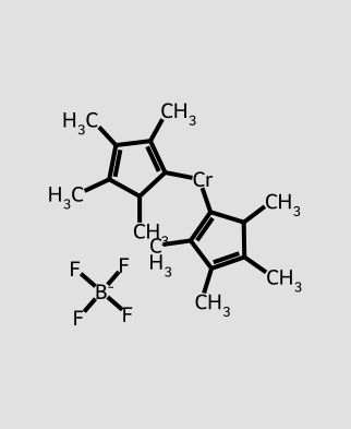 CC1=C(C)C(C)[C]([Cr][C]2=C(C)C(C)=C(C)C2C)=C1C.F[B-](F)(F)F